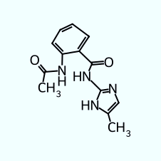 CC(=O)Nc1ccccc1C(=O)Nc1ncc(C)[nH]1